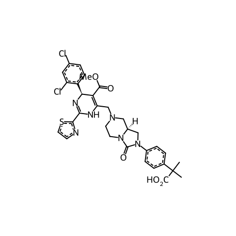 COC(=O)C1=C(CN2CCN3C(=O)N(c4ccc(C(C)(C)C(=O)O)cc4)C[C@@H]3C2)NC(c2nccs2)=N[C@H]1c1ccc(Cl)cc1Cl